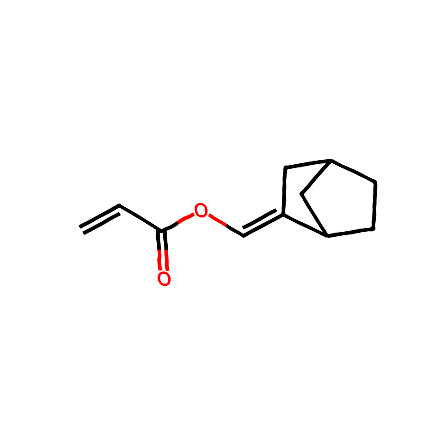 C=CC(=O)OC=C1CC2CCC1C2